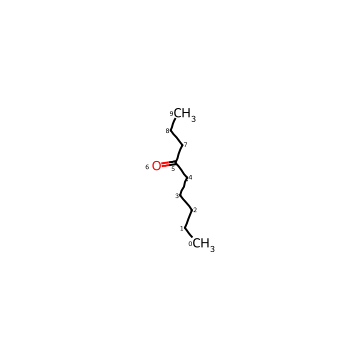 CCCC[CH]C(=O)CCC